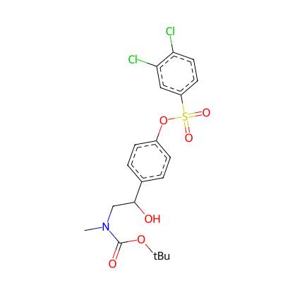 CN(CC(O)c1ccc(OS(=O)(=O)c2ccc(Cl)c(Cl)c2)cc1)C(=O)OC(C)(C)C